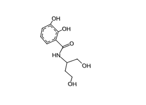 O=C(NC(CO)CCO)c1cccc(O)c1O